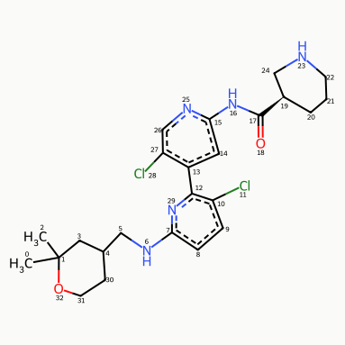 CC1(C)CC(CNc2ccc(Cl)c(-c3cc(NC(=O)[C@@H]4CCCNC4)ncc3Cl)n2)CCO1